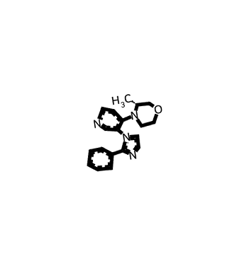 C[C@@H]1COCCN1c1ccncc1-n1ccnc1-c1ccccc1